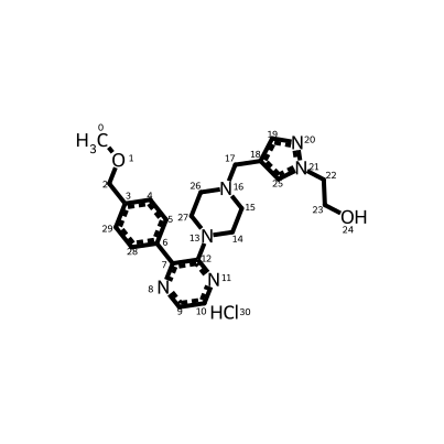 COCc1ccc(-c2nccnc2N2CCN(Cc3cnn(CCO)c3)CC2)cc1.Cl